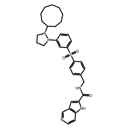 O=C(NCc1ccc(S(=O)(=O)c2cccc(N3CCCN3C3CCCCCCCC3)c2)cc1)c1cc2cnccc2[nH]1